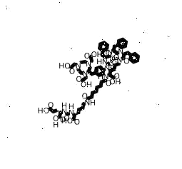 O=C(O)CC[C@H](NC(=O)N[C@@H](CCCCNC(=O)CCCCCCC(=O)NC(CCCCNC(=O)C(Cc1ccccc1)NC(=O)C(Cc1ccccc1)NC(=O)C(Cc1ccccc1)NC(=S)Nc1ccc(CC2CN(CC(=O)O)CCN(CC(=O)O)CCN2CC(=O)O)cc1)C(=O)O)C(=O)O)C(=O)O